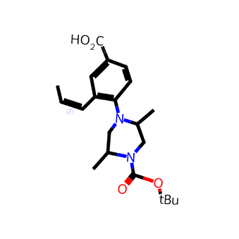 C/C=C\c1cc(C(=O)O)ccc1N1CC(C)N(C(=O)OC(C)(C)C)CC1C